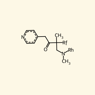 C[N]([Rh])C[C](C)([Rf])C(=O)Cc1ccncc1